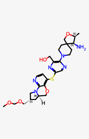 COCOC[C@H]1C[C@@H]2COc3c(Sc4cnc(N5CCC6(CC5)CO[C@@H](C)[C@H]6N)c(CO)n4)ccnc3N2C1